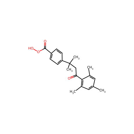 Cc1cc(C)c(C(=O)CC(C)(C)c2ccc(C(=O)OO)cc2)c(C)c1